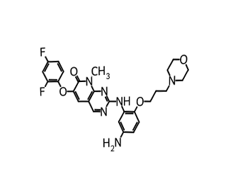 Cn1c(=O)c(Oc2ccc(F)cc2F)cc2cnc(Nc3cc(N)ccc3OCCCN3CCOCC3)nc21